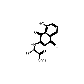 COC(=O)[C@H](NC1=CC(=O)c2cccc(O)c2C1=O)C(C)C